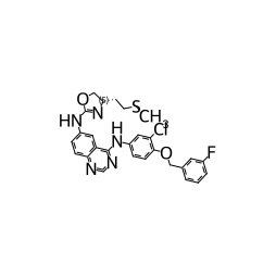 CSCC[C@H]1COC(Nc2ccc3ncnc(Nc4ccc(OCc5cccc(F)c5)c(Cl)c4)c3c2)=N1